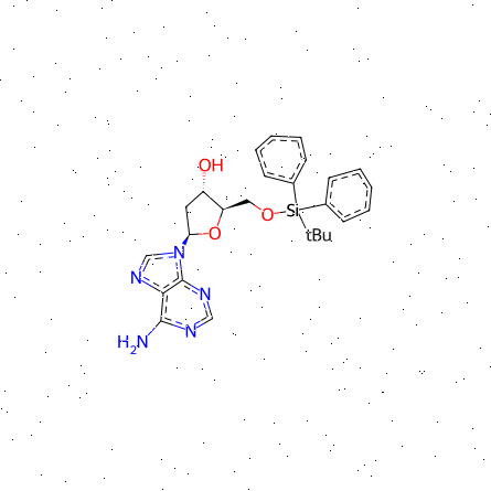 CC(C)(C)[Si](OC[C@H]1O[C@@H](n2cnc3c(N)ncnc32)C[C@@H]1O)(c1ccccc1)c1ccccc1